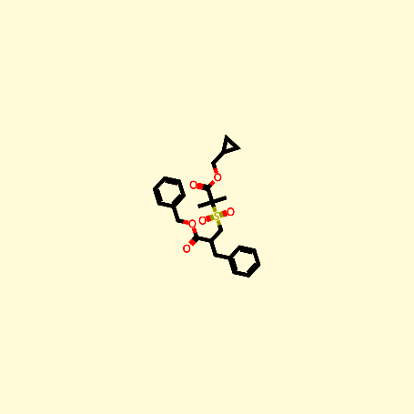 CC(C)(C(=O)OCC1CC1)S(=O)(=O)CC(Cc1ccccc1)C(=O)OCc1ccccc1